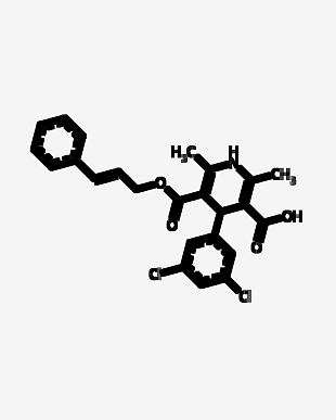 CC1=C(C(=O)O)C(c2cc(Cl)cc(Cl)c2)C(C(=O)OCC=Cc2ccccc2)=C(C)N1